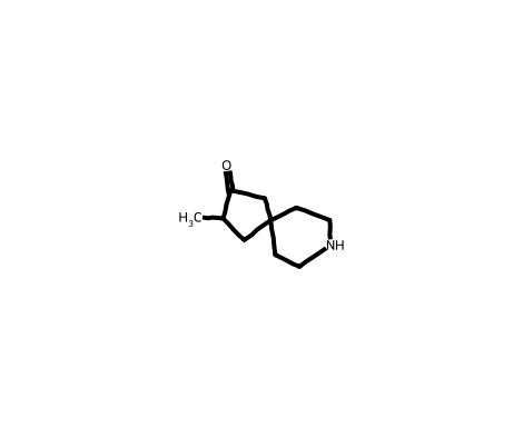 CC1CC2(CCNCC2)CC1=O